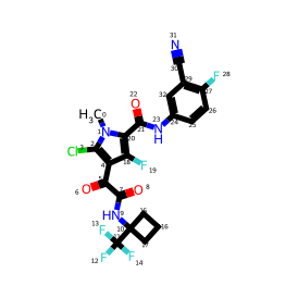 Cn1c(Cl)c(C(=O)C(=O)NC2(C(F)(F)F)CCC2)c(F)c1C(=O)Nc1ccc(F)c(C#N)c1